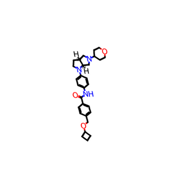 O=C(Nc1ccc(N2CC[C@@H]3CN(C4CCOCC4)C[C@@H]32)cc1)c1ccc(COC2CCC2)cc1